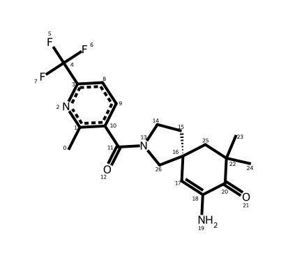 Cc1nc(C(F)(F)F)ccc1C(=O)N1CC[C@]2(C=C(N)C(=O)C(C)(C)C2)C1